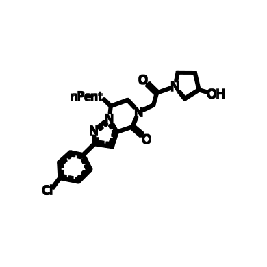 CCCCCC1CN(CC(=O)N2CCC(O)C2)C(=O)c2cc(-c3ccc(Cl)cc3)nn21